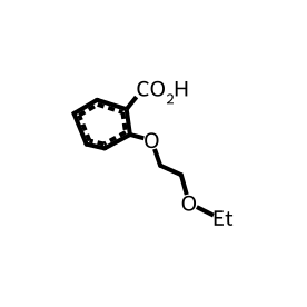 CCOCCOc1ccccc1C(=O)O